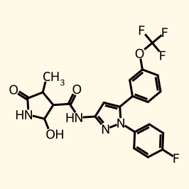 CC1C(=O)NC(O)C1C(=O)Nc1cc(-c2cccc(OC(F)(F)F)c2)n(-c2ccc(F)cc2)n1